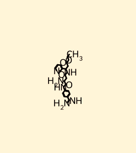 CCOC(=O)CC(NC(=O)CC(N)C(=O)Nc1ccc(C(=N)N)cc1)c1cccnc1